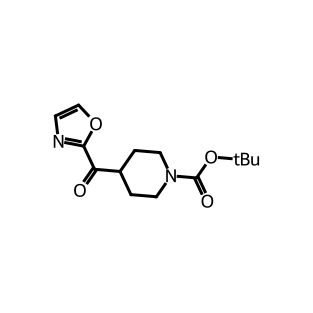 CC(C)(C)OC(=O)N1CCC(C(=O)c2ncco2)CC1